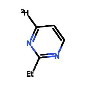 [2H]c1ccnc(CC)n1